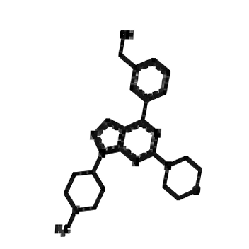 CN1CCC(n2ncc3c(-c4cccc(CO)c4)nc(N4CCOCC4)nc32)CC1